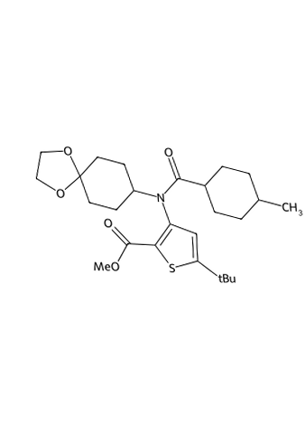 COC(=O)c1sc(C(C)(C)C)cc1N(C(=O)C1CCC(C)CC1)C1CCC2(CC1)OCCO2